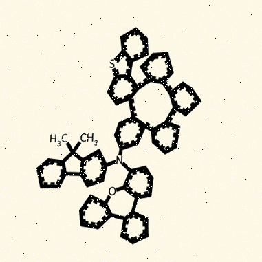 CC1(C)c2ccccc2-c2ccc(N(c3ccc4c(c3)c3ccccc3c3ccccc3c3ccccc3c3c4ccc4sc5ccccc5c43)c3cccc4c3Oc3ccccc3-c3ccccc3-4)cc21